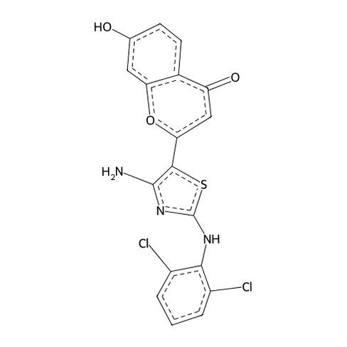 Nc1nc(Nc2c(Cl)cccc2Cl)sc1-c1cc(=O)c2ccc(O)cc2o1